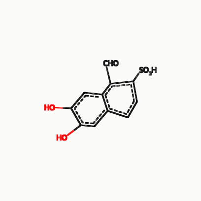 O=Cc1c(S(=O)(=O)O)ccc2cc(O)c(O)cc12